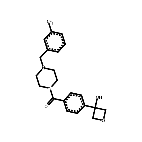 O=C(c1ccc(C2(O)COC2)cc1)N1CCN(Cc2cccc(C(F)(F)F)c2)CC1